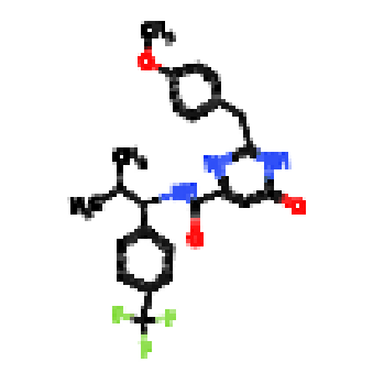 COc1ccc(Cc2nc(C(=O)NC(c3ccc(C(F)(F)F)cc3)C(C)C)cc(=O)[nH]2)cc1